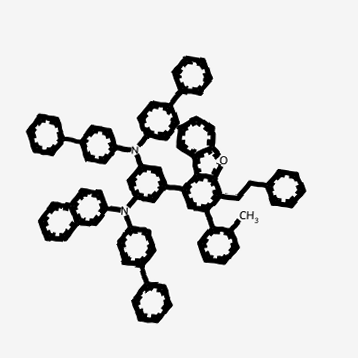 Cc1ccccc1-c1cc(-c2cc(N(c3ccc(-c4ccccc4)cc3)c3ccc(-c4ccccc4)cc3)cc(N(c3ccc(-c4ccccc4)cc3)c3ccc4ccccc4c3)c2)c2c(oc3ccccc32)c1CCc1ccccc1